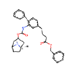 CN1C2CC[C@@H]1CC(OC(=O)Nc1cc(CCCC(=O)OCc3ccccc3)ccc1-c1ccccc1)C2